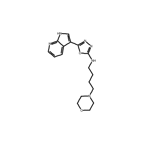 c1cnc2[nH]cc(-c3nnc(NCCCCN4CCOCC4)o3)c2c1